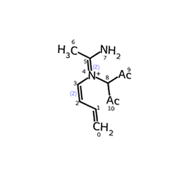 C=C/C=C\[N+](=C(/C)N)C(C(C)=O)C(C)=O